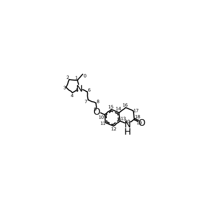 CC1CCCN1CCCOc1ccc2c(c1)CCC(=O)N2